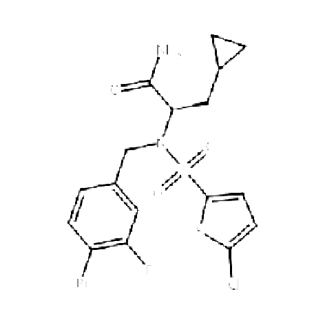 NC(=O)[C@@H](CC1CC1)N(Cc1ccc(Br)c(F)c1)S(=O)(=O)c1ccc(Cl)s1